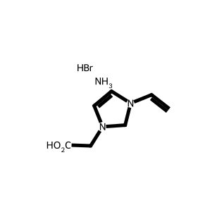 Br.C=CN1C=CN(CC(=O)O)C1.N